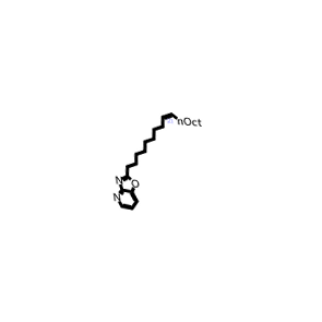 CCCCCCCC/C=C\CCCCCCCCc1nc2ncccc2o1